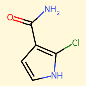 NC(=O)c1cc[nH]c1Cl